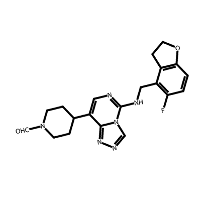 O=CN1CCC(c2cnc(NCc3c(F)ccc4c3CCO4)n3cnnc23)CC1